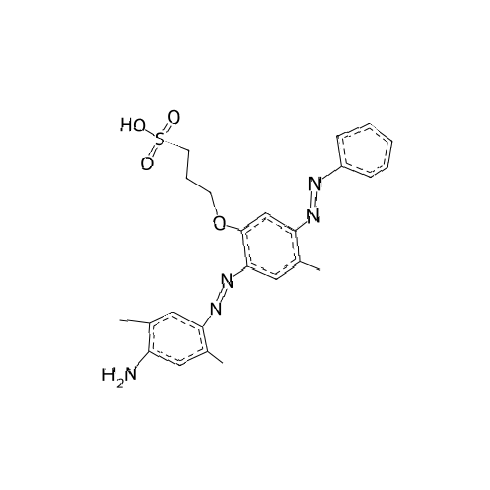 Cc1cc(N=Nc2cc(C)c(N=Nc3ccccc3)cc2OCCCS(=O)(=O)O)c(C)cc1N